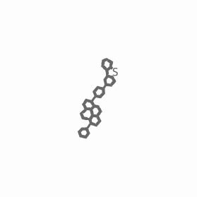 c1ccc(-c2ccc3ccc4c(-c5ccc(-c6ccc7sc8ccccc8c7c6)cc5)ccc5ccc2c3c54)cc1